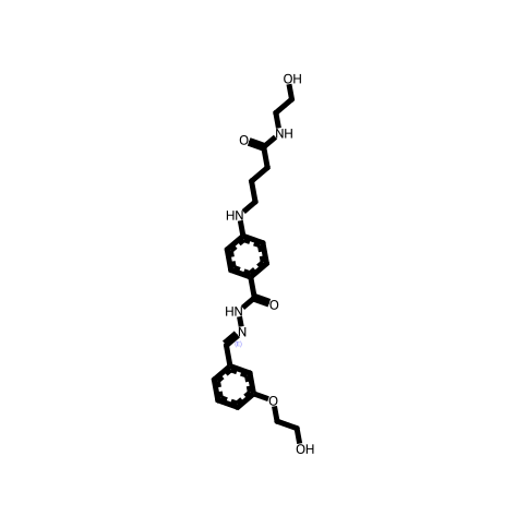 O=C(CCCNc1ccc(C(=O)N/N=C/c2cccc(OCCO)c2)cc1)NCCO